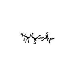 [3H]C([3H])N(C)C(=S)SSC(=S)N(C)C